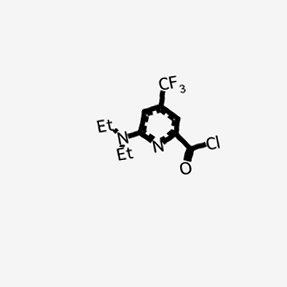 CCN(CC)c1cc(C(F)(F)F)cc(C(=O)Cl)n1